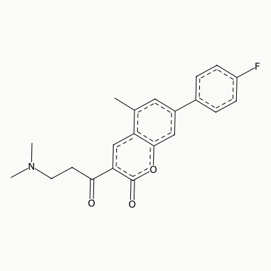 Cc1cc(-c2ccc(F)cc2)cc2oc(=O)c(C(=O)CCN(C)C)cc12